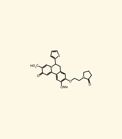 COc1cc2c(cc1OCCN1CCCC1=O)CC(c1cccs1)n1cc(C(=O)O)c(=O)cc1-2